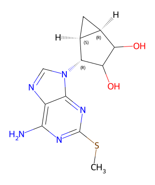 CSc1nc(N)c2ncn([C@H]3C(O)C(O)[C@@H]4C[C@@H]43)c2n1